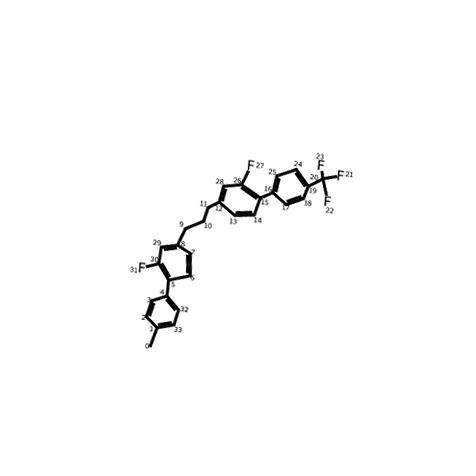 Cc1ccc(-c2ccc(CCCc3ccc(-c4ccc(C(F)(F)F)cc4)c(F)c3)cc2F)cc1